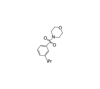 CC(C)c1cccc(S(=O)(=O)N2CCOCC2)c1